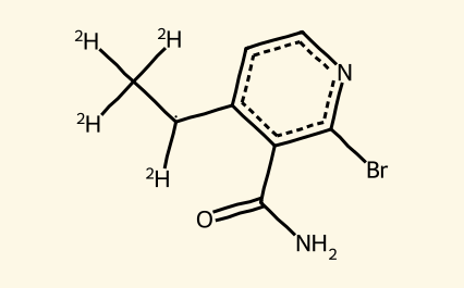 [2H][C](c1ccnc(Br)c1C(N)=O)C([2H])([2H])[2H]